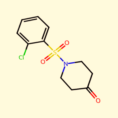 O=C1CCN(S(=O)(=O)c2ccccc2Cl)CC1